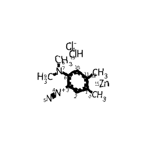 Cc1cc([N+]#N)c(N(C)C)cc1C.Cl.[Cl-].[Zn]